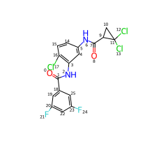 O=C(Nc1cc(NC(=O)C2CC2(Cl)Cl)ccc1Cl)c1cc(F)cc(F)c1